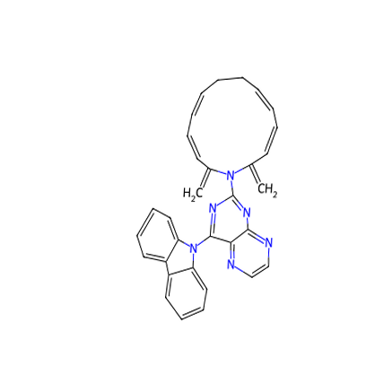 C=C1/C=C\C=C/CC/C=C\C=C/C(=C)N1c1nc(-n2c3ccccc3c3ccccc32)c2nccnc2n1